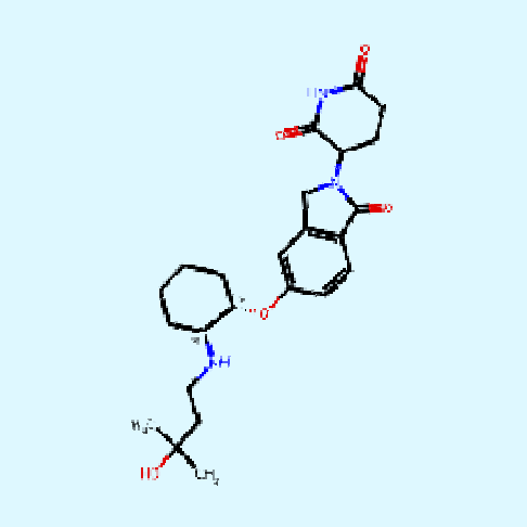 CC(C)(O)CCN[C@H]1CCCC[C@@H]1Oc1ccc2c(c1)CN(C1CCC(=O)NC1=O)C2=O